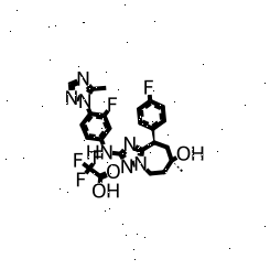 Cc1ncnn1-c1ccc(Nc2nc3n(n2)CC[C@](C)(O)C[C@@H]3c2ccc(F)cc2)cc1F.O=C(O)C(F)(F)F